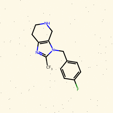 Fc1ccc(Cn2c(C(F)(F)F)nc3c2CNCC3)cc1